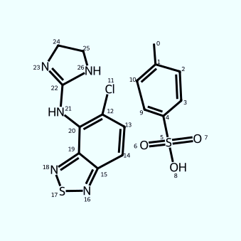 Cc1ccc(S(=O)(=O)O)cc1.Clc1ccc2nsnc2c1NC1=NCCN1